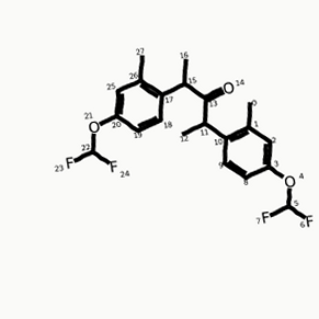 Cc1cc(OC(F)F)ccc1C(C)C(=O)C(C)c1ccc(OC(F)F)cc1C